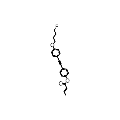 CC=CC(=O)Oc1ccc(C#Cc2ccc(OCCCCF)cc2)cc1